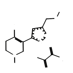 COCc1cc(C2=C(Cl)CCN(C)C2)no1.O=C(O)C(=O)O